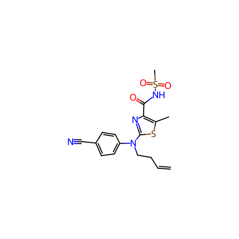 C=CCCN(c1ccc(C#N)cc1)c1nc(C(=O)NS(C)(=O)=O)c(C)s1